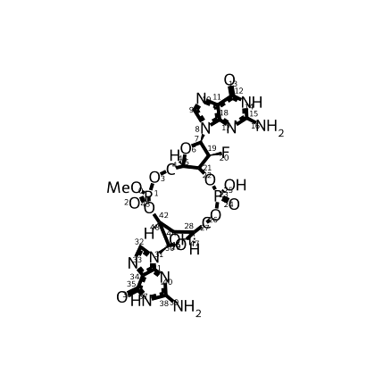 COP1(=O)OC[C@H]2O[C@@H](n3cnc4c(=O)[nH]c(N)nc43)[C@@H](F)C2OP(=O)(O)OC[C@H]2O[C@@H](n3cnc4c(=O)[nH]c(N)nc43)[C@@H](O1)C2O